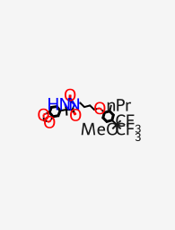 CCCc1cc(C(OC)(C(F)(F)F)C(F)(F)F)ccc1OCCCCN1C(=O)NC(C)(c2ccc3c(c2)OCO3)C1=O